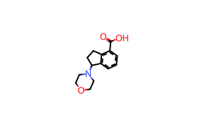 O=C(O)c1cccc2c1CCC2N1CCOCC1